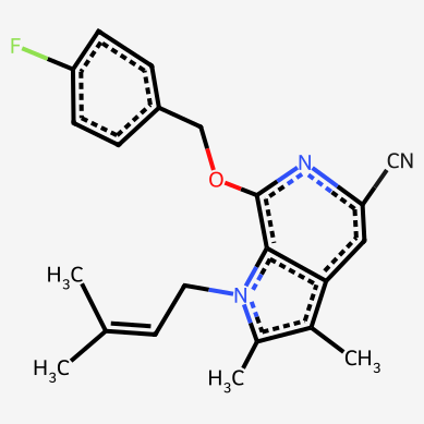 CC(C)=CCn1c(C)c(C)c2cc(C#N)nc(OCc3ccc(F)cc3)c21